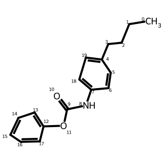 CCCCc1ccc(NC(=O)Oc2ccccc2)cc1